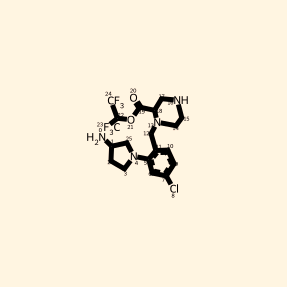 NC1CCN(c2cc(Cl)ccc2CN2CCNCC2C(=O)OC(C(F)(F)F)C(F)(F)F)C1